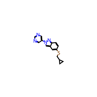 c1ncc(-n2cc3cc(SCC4CC4)ccc3n2)cn1